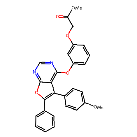 COC(=O)COc1cccc(Oc2ncnc3oc(-c4ccccc4)c(-c4ccc(OC)cc4)c23)c1